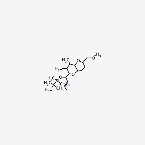 COCC1CCC2OC(C(/C=C/I)O[Si](C)(C)C(C)(C)C)C(C)C(C)C2O1